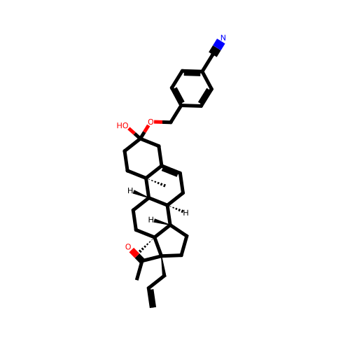 C=CC[C@]1(C(C)=O)CC[C@H]2[C@@H]3CC=C4CC(O)(OCc5ccc(C#N)cc5)CC[C@]4(C)[C@H]3CC[C@@]21C